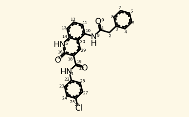 O=C(Cc1ccccc1)Nc1cccc2[nH]c(=O)c(C(=O)Nc3ccc(Cl)cc3)cc12